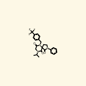 CC(C)N1CC(=O)N(Cc2ccc(C(F)(F)F)cc2)C2(CCN(c3ccccc3)C2=O)C1=O